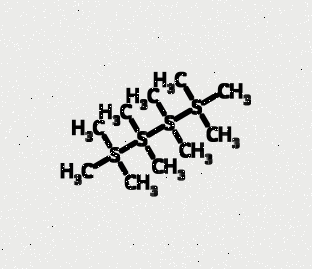 CS(C)(C)S(C)(C)S(C)(C)S(C)(C)C